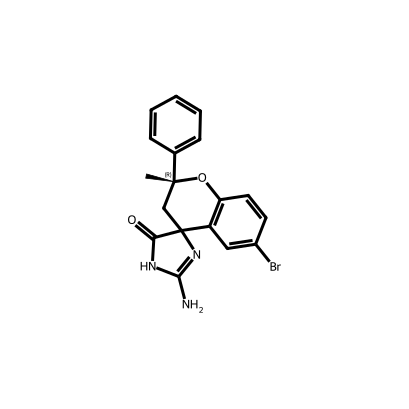 C[C@]1(c2ccccc2)CC2(N=C(N)NC2=O)c2cc(Br)ccc2O1